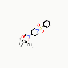 CC(C)(C)ON(C=O)C1CCN(S(=O)(=O)c2ccccc2)CC1